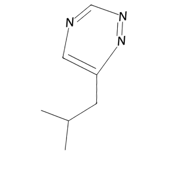 CC(C)Cc1cncnn1